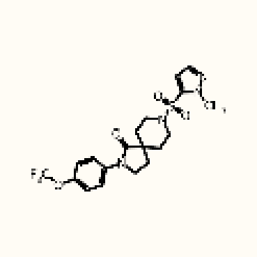 Cn1nccc1S(=O)(=O)N1CCC2(CCN(c3ccc(OC(F)(F)F)cc3)C2=O)CC1